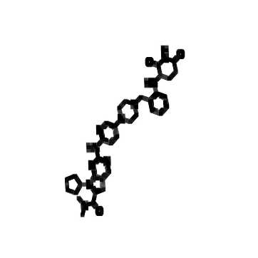 CN(C)C(=O)c1cc2cnc(Nc3ccc(N4CCN(Cc5ccccc5NC5CCC(=O)NC5=O)CC4)cn3)nc2n1C1CCCC1